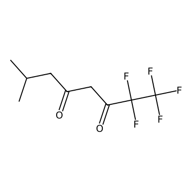 CC(C)CC(=O)CC(=O)C(F)(F)C(F)(F)F